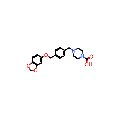 O=C(O)N1CCN(Cc2ccc(COc3ccc4c(c3)OCO4)cc2)CC1